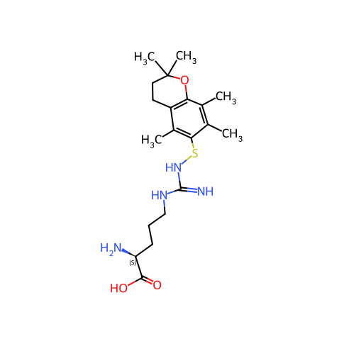 Cc1c(C)c(SNC(=N)NCCC[C@H](N)C(=O)O)c(C)c2c1OC(C)(C)CC2